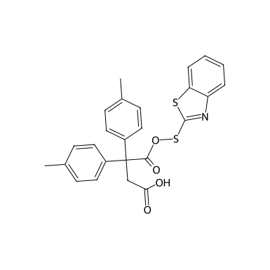 Cc1ccc(C(CC(=O)O)(C(=O)OSc2nc3ccccc3s2)c2ccc(C)cc2)cc1